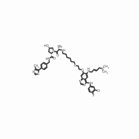 Cc1ncsc1-c1ccc(CNC(=O)[C@@H]2C[C@@H](O)CN2C(=O)[C@@H](NCCCCCCOCCOc2cc3ncnc(Nc4ccc(F)c(Cl)c4)c3cc2NC/C=C/CN(C)C)C(C)(C)C)cc1